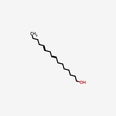 CCCC/C=C/C/C=C/CCCCCCCO